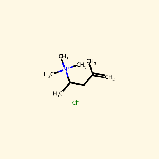 C=C(C)CC(C)[N+](C)(C)C.[Cl-]